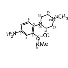 CN[S+]([O-])c1cc(N)ccc1N1CCN(C)CC1